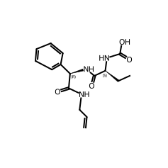 C=CCNC(=O)[C@H](NC(=O)[C@H](CC)NC(=O)O)c1ccccc1